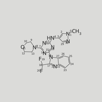 Cn1cc(Nc2nc(N3CCOCC3)nc(-n3c(C(F)F)nc4ccccc43)n2)cn1